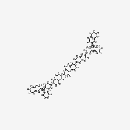 CC1(C)c2cc(-c3ccc4cc(-c5ccc6c(c5)c5ccccc5n6-c5ccc6ccccc6c5)ccc4c3)ccc2-c2ccc(-c3ccc4cc(-c5ccc6c(c5)c5ccccc5n6-c5ccc6ccccc6c5)ccc4c3)cc21